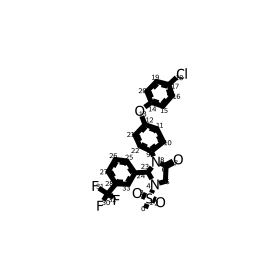 CS(=O)(=O)N1CC(=O)N(c2ccc(Oc3ccc(Cl)cc3)cc2)C1c1cccc(C(F)(F)F)c1